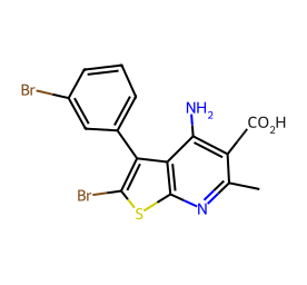 Cc1nc2sc(Br)c(-c3cccc(Br)c3)c2c(N)c1C(=O)O